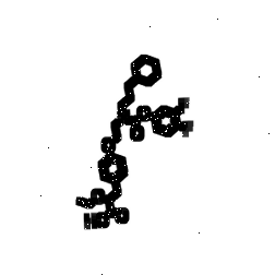 CCOC(Cc1ccc(OCCN(CCCC2CCCCC2)C(=O)Oc2ccc(F)c(F)c2)cc1)C(=O)O